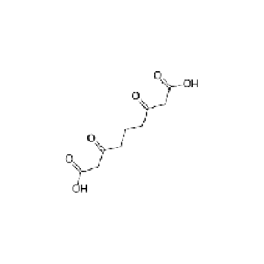 O=C(O)CC(=O)CCCC(=O)CC(=O)O